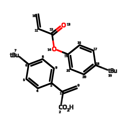 C=C(C(=O)O)c1ccc(C(C)(C)C)cc1.C=CC(=O)Oc1ccc(C(C)(C)C)cc1